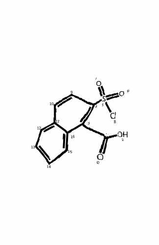 O=C(O)c1c(S(=O)(=O)Cl)ccc2ccccc12